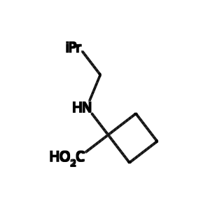 CC(C)CNC1(C(=O)O)CCC1